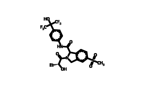 CC[C@@H](O)C(=O)N1Cc2cc(S(C)(=O)=O)ccc2C1C(=O)Nc1ccc(C(O)(C(F)(F)F)C(F)(F)F)cc1